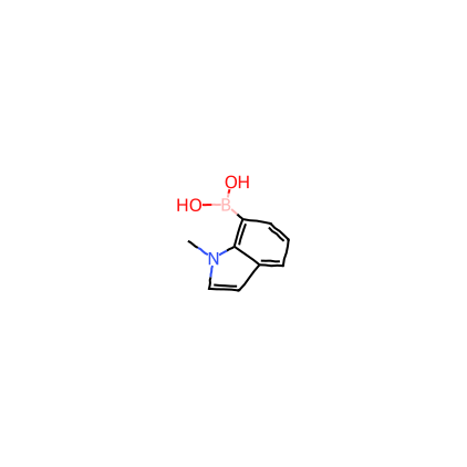 Cn1ccc2cccc(B(O)O)c21